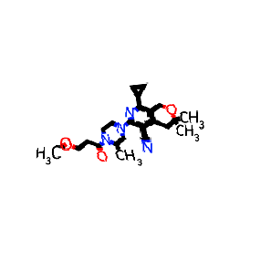 COCCC(=O)N1CCN(c2nc(C3CC3)c3c(c2C#N)CC(C)(C)OC3)CC1C